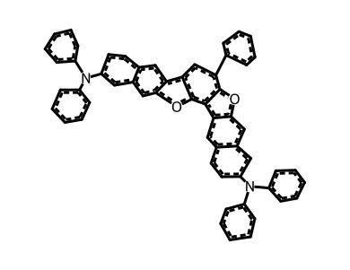 c1ccc(-c2cc3c4cc5ccc(N(c6ccccc6)c6ccccc6)cc5cc4oc3c3c2oc2cc4cc(N(c5ccccc5)c5ccccc5)ccc4cc23)cc1